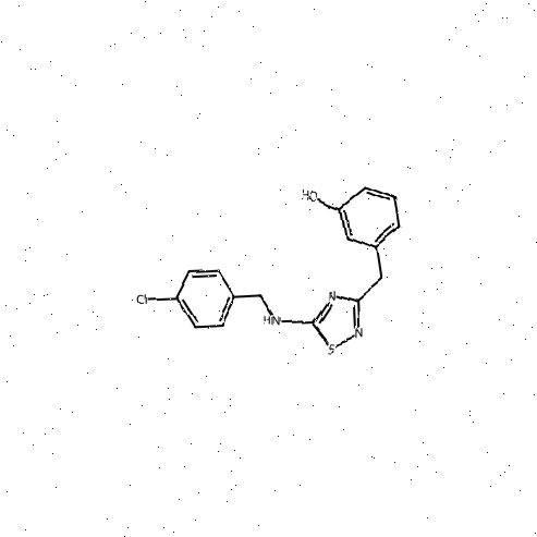 Oc1cccc(Cc2nsc(NCc3ccc(Cl)cc3)n2)c1